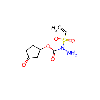 C=CS(=O)(=O)N(N)C(=O)OC1CCC(=O)C1